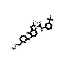 CNCc1nccc(Oc2ccc3c(cc(C)n3C(=O)Nc3cccc(C(F)(F)F)c3)c2F)n1